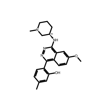 COc1ccc2c(-c3ccc(C)cc3O)nnc(N[C@@H]3CCCN(C)C3)c2c1